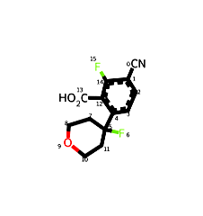 N#Cc1ccc(C2(F)CCOCC2)c(C(=O)O)c1F